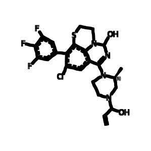 C=CC(O)N1CCN(C2=NC(O)N3CCSc4c(-c5cc(F)c(F)c(F)c5)c(Cl)cc2c43)[C@@H](C)C1